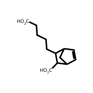 O=C(O)CCCCC1C2C=CC(C2)C1C(=O)O